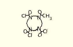 CC(=O)N1CCCN(C(=O)Cl)CCN(C(=O)Cl)CCCN(C(=O)Cl)CC1